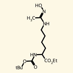 CCOC(=O)C(CCCCN/C(C)=N/O)NC(=O)OC(C)(C)C